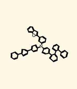 c1ccc(-c2ccc(-c3ccc(N(c4ccc(-c5ccccc5-c5ccccc5-c5ccccc5)cc4)c4cccc(-c5cc6ccccc6o5)c4)cc3)cc2)cc1